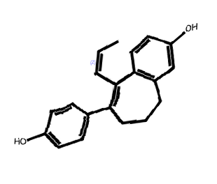 C/C=C\C1=C(c2ccc(O)cc2)CCCc2cc(O)ccc21